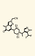 CC[C@H]1CN(C(C)c2cnn(C)c2C(F)F)[C@H](CC)CN1c1cc(=O)n(C)c2cn(CC#N)nc12